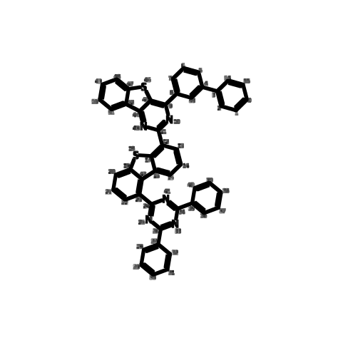 c1ccc(-c2cccc(-c3nc(-c4cccc5c4sc4cccc(-c6nc(-c7ccccc7)nc(-c7ccccc7)n6)c45)nc4c3sc3ccccc34)c2)cc1